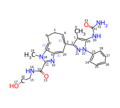 Cc1c(C2=C/CC/C=c3/c(nc(C(=O)NCCO)n3C)=C\2)nn(-c2ccccc2)c1NC(N)=O